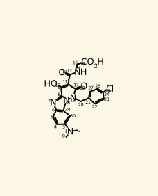 CN(C)c1ccc2nc3c(O)c(C(=O)NCC(=O)O)c(=O)n(Cc4ccc(Cl)cc4)n3c2c1